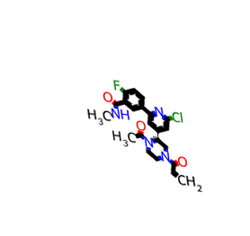 C=CC(=O)N1CCN(C(C)=O)[C@H](c2cc(Cl)nc(-c3ccc(F)c(C(=O)NC)c3)c2)C1